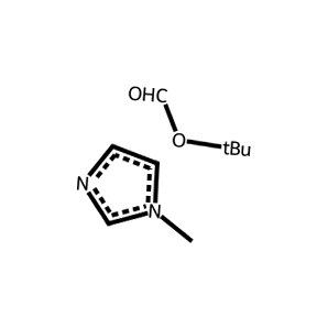 CC(C)(C)OC=O.Cn1ccnc1